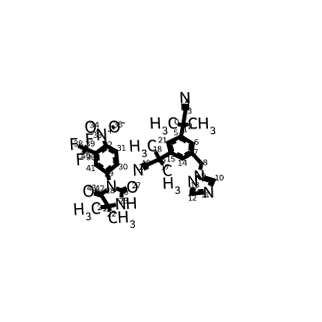 CC(C)(C#N)c1cc(Cn2cncn2)cc(C(C)(C)C#N)c1.CC1(C)NC(=O)N(c2ccc([N+](=O)[O-])c(C(F)(F)F)c2)C1=O